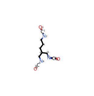 O=C=NCCCC(CN=C=O)CN=C=O